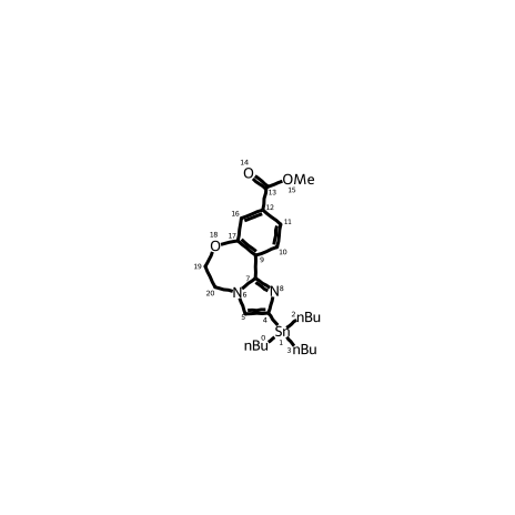 CCC[CH2][Sn]([CH2]CCC)([CH2]CCC)[c]1cn2c(n1)-c1ccc(C(=O)OC)cc1OCC2